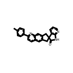 Cc1ccc(-c2ccc3cc4c(cc3n2)CC2(C4)C(=O)Nc3ncccc32)cc1